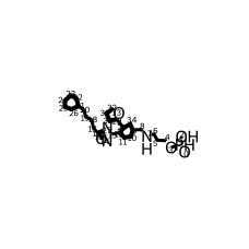 O=[PH](O)OCCCNCc1ccc(-c2noc(CCCCc3ccccc3)n2)c(-c2ccco2)c1